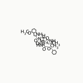 COc1cccc2[nH]c(C(=O)N3C[C@@H]4CCC[C@@H]4[C@H]3C(=O)N[C@@H](C[C@H]3CC(C)(C)NC3=O)C(=O)COCc3ccccc3)cc12